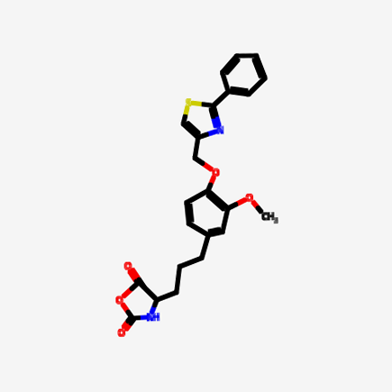 COc1cc(CCCC2NC(=O)OC2=O)ccc1OCc1csc(-c2ccccc2)n1